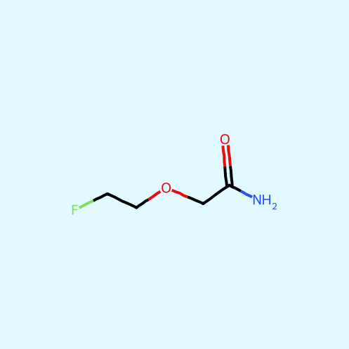 NC(=O)COCCF